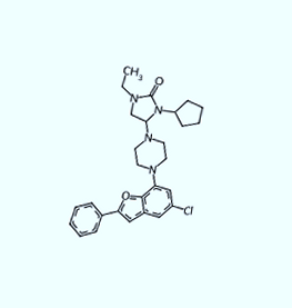 CCN1CC(N2CCN(c3cc(Cl)cc4cc(-c5ccccc5)oc34)CC2)N(C2CCCC2)C1=O